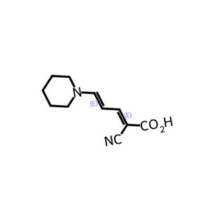 N#C/C(=C\C=C\N1CCCCC1)C(=O)O